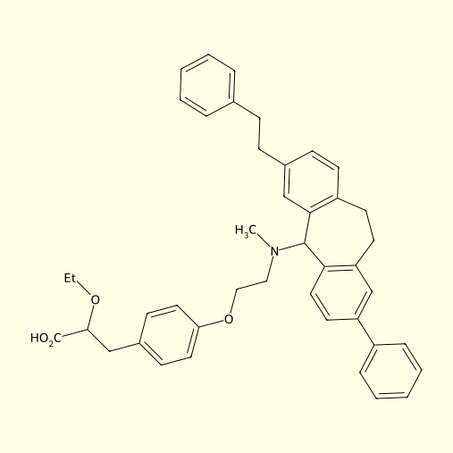 CCOC(Cc1ccc(OCCN(C)C2c3ccc(-c4ccccc4)cc3CCc3ccc(CCc4ccccc4)cc32)cc1)C(=O)O